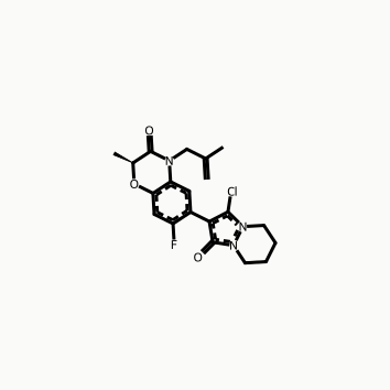 C=C(C)CN1C(=O)[C@H](C)Oc2cc(F)c(-c3c(Cl)n4n(c3=O)CCCC4)cc21